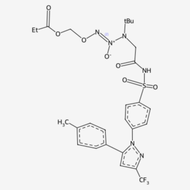 CCC(=O)OCO/N=[N+](\[O-])N(CC(=O)NS(=O)(=O)c1ccc(-n2nc(C(F)(F)F)cc2-c2ccc(C)cc2)cc1)C(C)(C)C